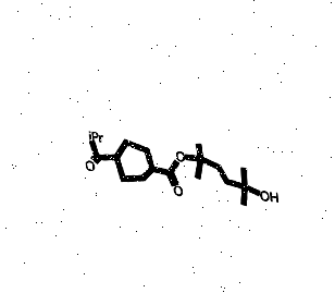 CC(C)C(=O)C1CCC(C(=O)OC(C)(C)CCC(C)(C)O)CC1